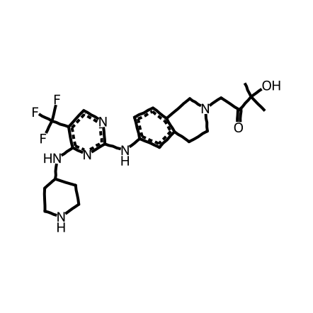 CC(C)(O)C(=O)CN1CCc2cc(Nc3ncc(C(F)(F)F)c(NC4CCNCC4)n3)ccc2C1